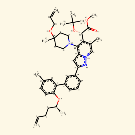 C=CCC[C@H](C)Oc1ccc(C)cc1-c1cccc(-c2cc3c(N4CCC(C)(OCC=C)CC4)c([C@H](OC(C)(C)C)C(=O)OC)c(C)cn3n2)c1